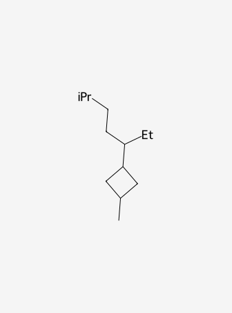 CCC(CCC(C)C)C1CC(C)C1